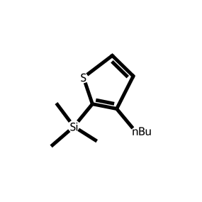 CCCCc1ccsc1[Si](C)(C)C